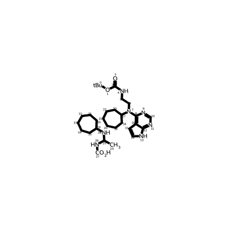 CC(C)(C)OC(=O)NCCN(c1ncnc2[nH]ccc12)C1CCCCCC1.CC(NC(=O)O)NC1CCCCCC1